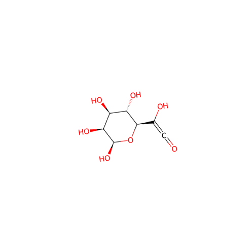 O=C=C(O)[C@H]1O[C@@H](O)[C@@H](O)[C@@H](O)[C@@H]1O